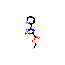 CCOC(=O)c1nc(-c2ccccn2)n[nH]1